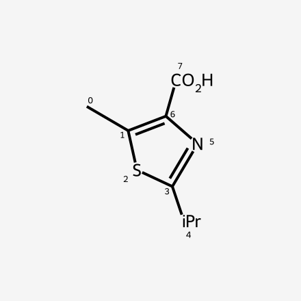 Cc1sc(C(C)C)nc1C(=O)O